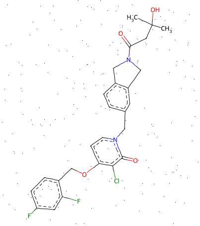 CC(C)(O)CC(=O)N1Cc2ccc(Cn3ccc(OCc4ccc(F)cc4F)c(Cl)c3=O)cc2C1